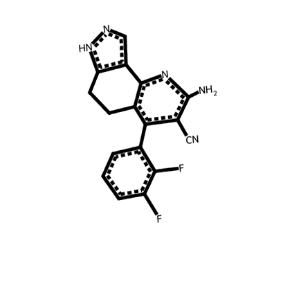 N#Cc1c(N)nc2c(c1-c1cccc(F)c1F)CCc1[nH]ncc1-2